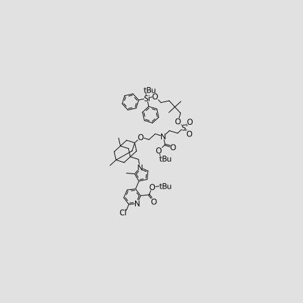 Cc1c(-c2ccc(Cl)nc2C(=O)OC(C)(C)C)ccn1CC12CC3(C)CC(C)(C1)CC(OCCN(CCS(=O)(=O)OCC(C)(C)CCO[Si](c1ccccc1)(c1ccccc1)C(C)(C)C)C(=O)OC(C)(C)C)(C3)C2